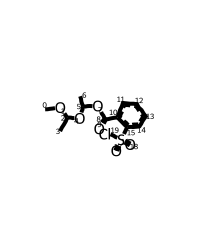 COC(C)OC(C)OC(=O)c1ccccc1S(=O)(=O)Cl